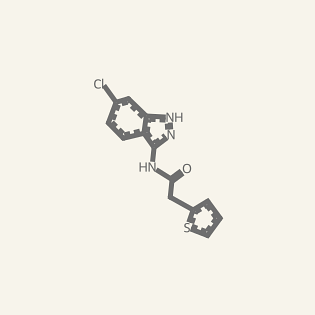 O=C(Cc1cccs1)Nc1n[nH]c2cc(Cl)ccc12